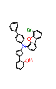 OC1CC=CC=C1C1=CC=C(N(c2ccc(-c3ccccc3)cc2)c2cccc3c2oc2c(Br)cccc23)C1